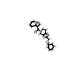 O=C(c1cnn2ccccc12)N1CCc2nc(COc3ccccc3)oc2C1